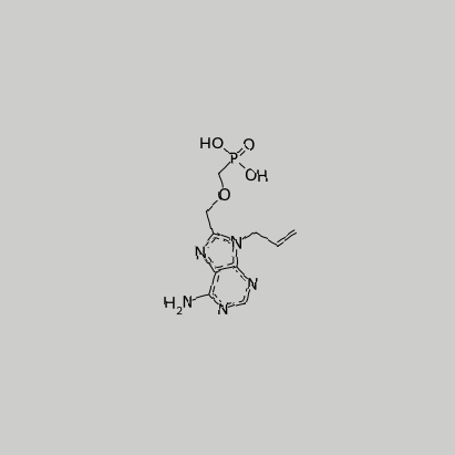 C=CCn1c(COCP(=O)(O)O)nc2c(N)ncnc21